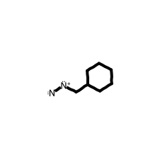 [N][N+]CC1CCCCC1